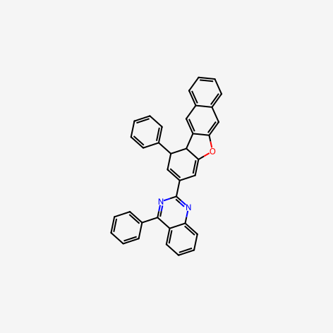 C1=C(c2nc(-c3ccccc3)c3ccccc3n2)C=C2Oc3cc4ccccc4cc3C2C1c1ccccc1